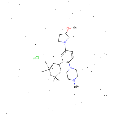 CCCN1CCN(c2ccc(N3CCC(OCC)C3)cc2C2CC(C)(C)CC(C)(C)C2)CC1.Cl